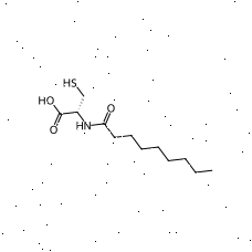 CCCCCCCCC(=O)N[C@@H](CS)C(=O)O